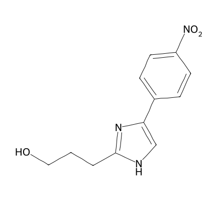 O=[N+]([O-])c1ccc(-c2c[nH]c(CCCO)n2)cc1